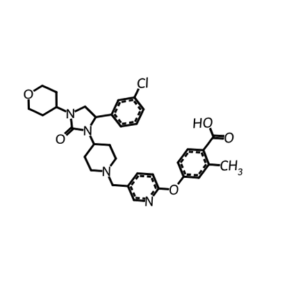 Cc1cc(Oc2ccc(CN3CCC(N4C(=O)N(C5CCOCC5)CC4c4cccc(Cl)c4)CC3)cn2)ccc1C(=O)O